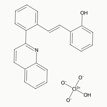 Oc1ccccc1/C=C/c1ccccc1-c1ccc2ccccc2n1.[O-][Cl+3]([O-])([O-])O